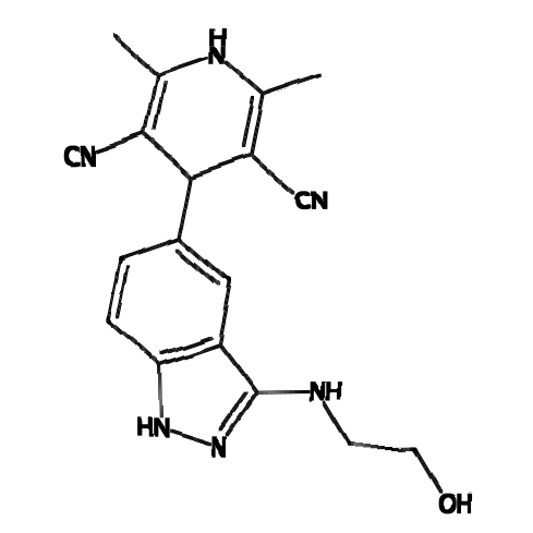 [C-]#[N+]C1=C(C)NC(C)=C(C#N)C1c1ccc2[nH]nc(NCCO)c2c1